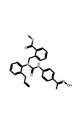 C=CCc1ccccc1N(Cc1ccccc1C(=O)OC)C(=O)Nc1ccc(/C(C)=N/O)cc1